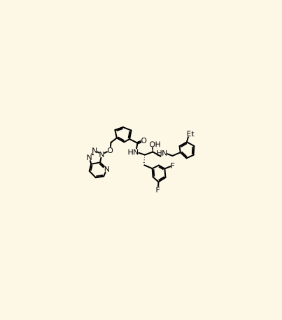 CCc1cccc(CNC[C@H](O)[C@H](Cc2cc(F)cc(F)c2)NC(=O)c2cccc(COn3nnc4cccnc43)c2)c1